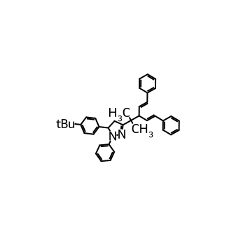 CC(C)(C)c1ccc(C2CC(C(C)(C)C(C=Cc3ccccc3)C=Cc3ccccc3)=NN2c2ccccc2)cc1